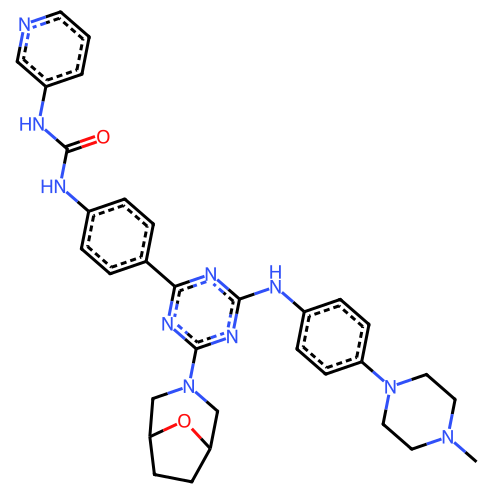 CN1CCN(c2ccc(Nc3nc(-c4ccc(NC(=O)Nc5cccnc5)cc4)nc(N4CC5CCC(C4)O5)n3)cc2)CC1